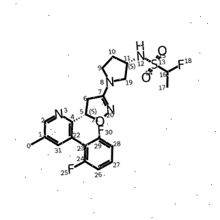 Cc1cnc([C@@H]2CC(N3CC[C@H](NS(=O)(=O)C(C)F)C3)=NO2)c(-c2c(F)cccc2F)c1